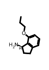 CCCOc1cccc2c1[C@H](N)CC2